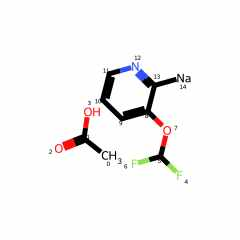 CC(=O)O.FC(F)Oc1cccn[c]1[Na]